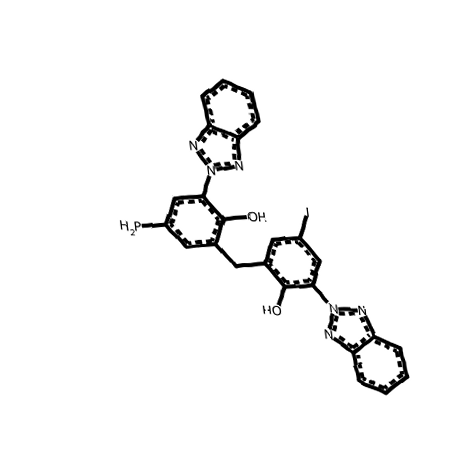 Oc1c(Cc2cc(I)cc(-n3nc4ccccc4n3)c2O)cc(P)cc1-n1nc2ccccc2n1